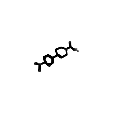 CC(=O)N1CC=C(c2ccc([N+](=O)[O-])nc2)CC1